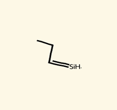 CCC=[SiH]